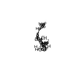 C#Cc1c(F)ccc2cc(O)cc(-c3ncc4c(N5CC6CCC(C5)N6)nc(OC[C@@]56CC[C@@H](COC(=O)N7CCN(CCCCCCNc8ccc9c(c8)C(=O)N(C8CCC(=O)NC8=O)C9=O)CC7)N5CC(=C)C6)nc4c3C)c12